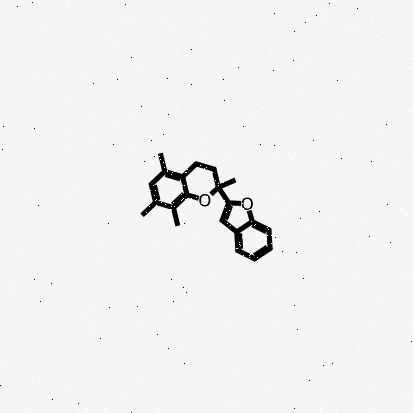 Cc1cc(C)c2c(c1C)OC(C)(c1cc3ccccc3o1)CC2